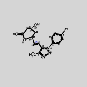 Cc1nnn(-c2ccc(F)cc2)c1/C=C/[C@@H]1C[C@@H](O)CC(=O)O1